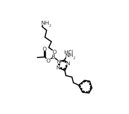 CC(=O)OB(OCCCCCN)n1nc(CCCc2ccccc2)nc1N.Cl